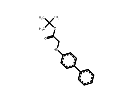 CC(C)(C)OC(=O)CNc1ccc(-c2ccccc2)cc1